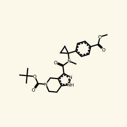 COC(=O)c1ccc(C2(N(C)C(=O)c3n[nH]c4c3CN(C(=O)OC(C)(C)C)CC4)CC2)cc1